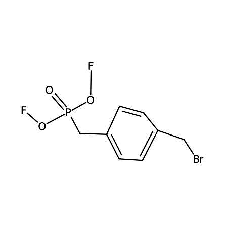 O=P(Cc1ccc(CBr)cc1)(OF)OF